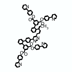 C/C=C(\C=C/Cc1cc(-c2ccc(-c3ccccc3-c3cc(C(=O)Oc4ccc(-c5ccccn5)cc4)cc(C(=O)OC4C=CC(c5ccccn5)=CC4)c3)cc2)ncn1)c1ccccc1-c1cc(C(=O)Oc2ccc(-c3ccccn3)cc2)cc(C(=O)Oc2ccc(-c3ccccn3)cc2)c1